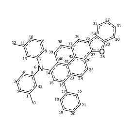 Cc1cccc(N(c2cccc(C)c2)c2cc(-c3ccccc3)c3ccc4c5oc6ccccc6c5cc5ccc2c3c54)c1